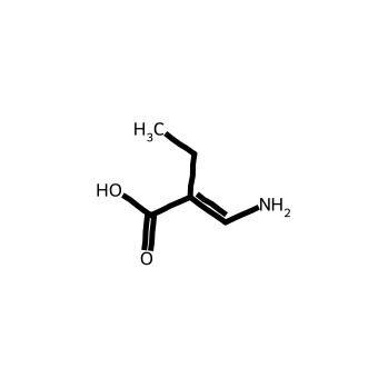 CC/C(=C\N)C(=O)O